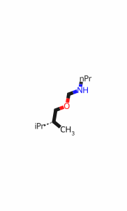 CCCNCOC[C@H](C)C(C)C